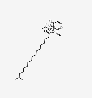 C=C[C](=O)[Ti](=[O])([O]C(=O)CCCCCCCCCCCCCCC(C)C)([O]C(C)C)[C](=O)C=C